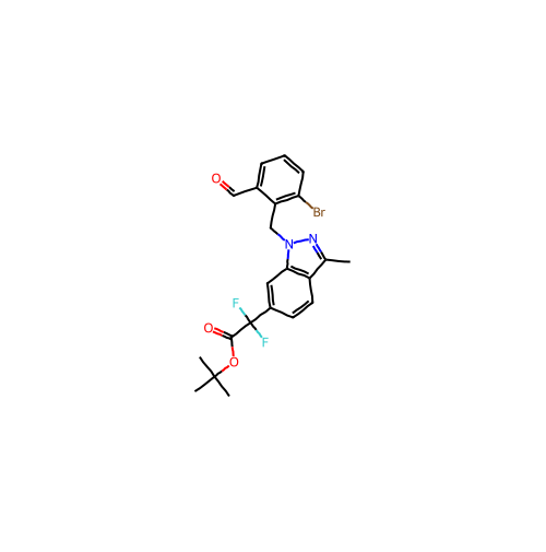 Cc1nn(Cc2c(Br)cccc2C=O)c2cc(C(F)(F)C(=O)OC(C)(C)C)ccc12